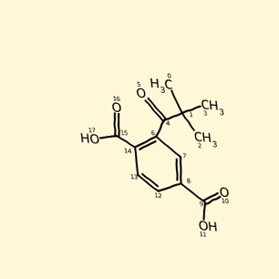 CC(C)(C)C(=O)c1cc(C(=O)O)ccc1C(=O)O